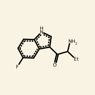 CCC(N)C(=O)c1c[nH]c2ccc(F)cc12